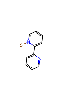 [S-][n+]1ccccc1-c1ccccn1